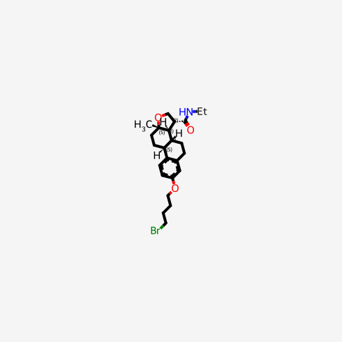 CCNC(=O)[C@H]1CO[C@@]2(C)CC[C@@H]3c4ccc(OCCCCBr)cc4CC[C@H]3[C@H]12